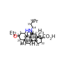 CCO[C@@H]1CC[C@@]2(C)[C@@H](CC[C@@H]3[C@@H]2[C@H](NCCC(C)C)C[C@]2(C)[C@@H](C(=O)O)CC[C@@H]32)C1